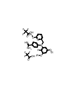 CCOc1cc(OC(C)C)c(F)c(N(Cc2cccc(OC(C)C)n2)c2ccc(C(=N)N)cc2)c1.O=C(O)C(F)(F)F.O=C(O)C(F)(F)F